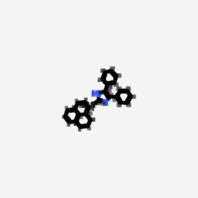 C1=Cc2cccc3cccc(c23)C1.O=S(=O)(O)c1nc(-c2ccccc2)c(-c2ccccc2)[nH]1